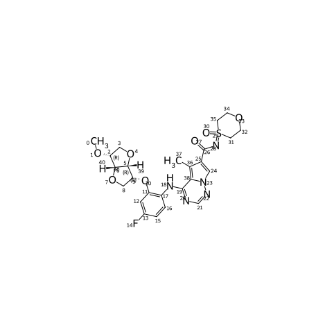 CO[C@@H]1CO[C@H]2[C@@H]1OC[C@H]2Oc1cc(F)ccc1Nc1ncnn2cc(C(=O)N=S3(=O)CCOCC3)c(C)c12